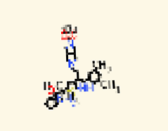 Cc1cc(C)cc(-c2[nH]c3sc(C(C)(C)C(=O)C4(N)C5CCC4CC5)cc3c2CCN2CC3CN(C(=O)OC(C)(C)C)CC3C2)c1